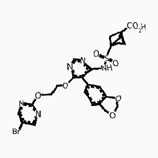 O=C(O)C12CC(S(=O)(=O)Nc3ncnc(OCCOc4ncc(Br)cn4)c3-c3ccc4c(c3)OCO4)(C1)C2